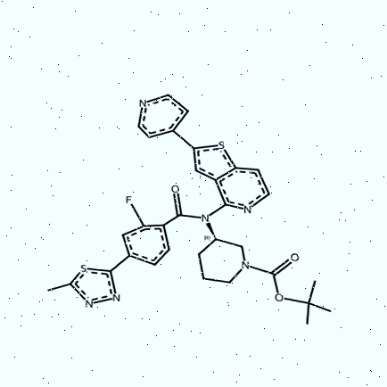 Cc1nnc(-c2ccc(C(=O)N(c3nccc4sc(-c5ccncc5)cc34)[C@@H]3CCCN(C(=O)OC(C)(C)C)C3)c(F)c2)s1